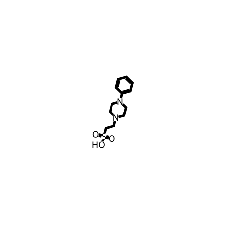 O=S(=O)(O)CCN1CCN(c2ccccc2)CC1